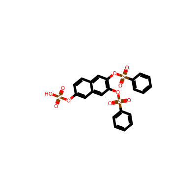 O=S(=O)(O)Oc1ccc2cc(OS(=O)(=O)c3ccccc3)c(OS(=O)(=O)c3ccccc3)cc2c1